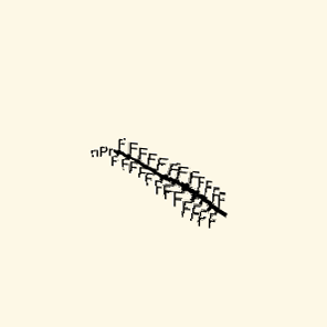 CCCC(F)(F)C(F)(F)C(F)(F)C(F)(F)C(F)(F)C(F)(F)C(F)(F)C(F)(F)C(F)(F)C(F)(F)C(F)(F)C(C)(F)F